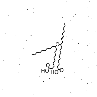 CCCCC/C=C/CC(CCCCCCCCC(=O)O)OC(CCCCCCCCC)CCCCCCCCC(=O)O